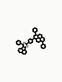 c1ccc(-c2nc(-c3ccc(-c4cc(-c5ccccc5)c5ccc6ccc(-c7ccccc7)c7ccc4c5c67)cc3)nc3c2-c2cccc4cccc-3c24)cc1